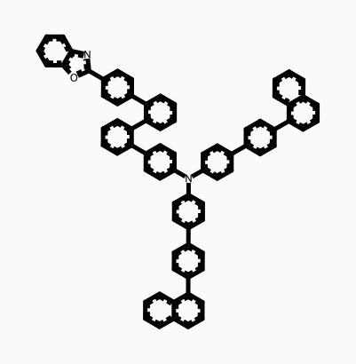 c1ccc(-c2ccccc2-c2ccc(N(c3ccc(-c4ccc(-c5cccc6ccccc56)cc4)cc3)c3ccc(-c4ccc(-c5cccc6ccccc56)cc4)cc3)cc2)c(-c2ccc(-c3nc4ccccc4o3)cc2)c1